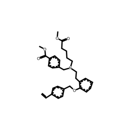 C=Cc1ccc(COc2ccccc2CCN(CCCCC(=O)OC)Cc2ccc(C(=O)OC)cc2)cc1